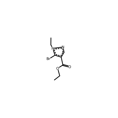 CCOC(=O)c1cnn(CC)c1Br